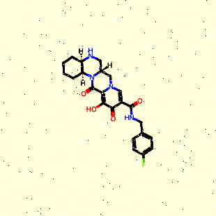 O=C(NCc1ccc(F)cc1)c1cn2c(c(O)c1=O)C(=O)N1[C@H](CN[C@@H]3CCCC[C@@H]31)C2